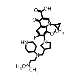 COc1c(N2CCC(CN(CCN(C)C)C3CCNCC3)C2)c(F)cc2c(=O)c(C(=O)O)cn(C3CC3)c12